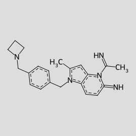 CC(=N)n1c(=N)ccc2c1cc(C)n2Cc1ccc(CN2CCC2)cc1